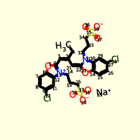 CCC(=Cc1oc2ccc(Cl)cc2[n+]1CCCS(=O)(=O)[O-])C=C1Oc2ccc(Cl)cc2N1CCCS(=O)(=O)[O-].[Na+]